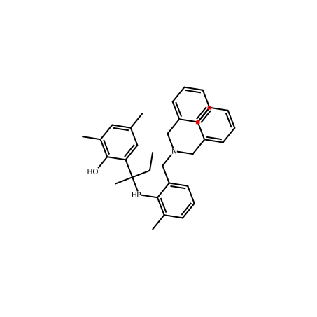 CCC(C)(Pc1c(C)cccc1CN(Cc1ccccc1)Cc1ccccc1)c1cc(C)cc(C)c1O